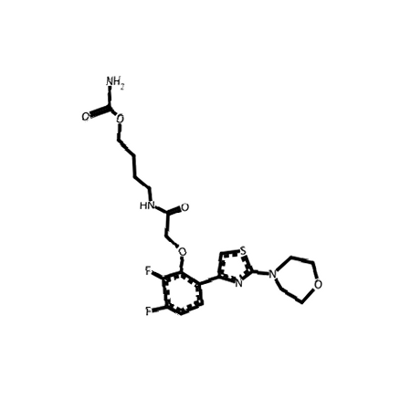 NC(=O)OCCCCNC(=O)COc1c(-c2csc(N3CCOCC3)n2)ccc(F)c1F